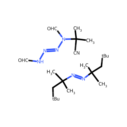 CC(C)(C#N)N(C=O)N=NNC=O.CC(C)(C)CC(C)(C)N=NC(C)(C)CC(C)(C)C